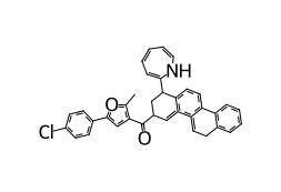 Cc1oc(-c2ccc(Cl)cc2)cc1C(=O)C1C=c2c(ccc3c2=CCc2ccccc2-3)C(C2=CC=CC=CN2)C1